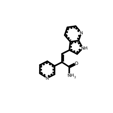 NC(=O)C(=Cc1c[nH]c2ncccc12)c1cccnc1